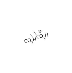 CC(=O)O.CC(=O)O.[Ir]